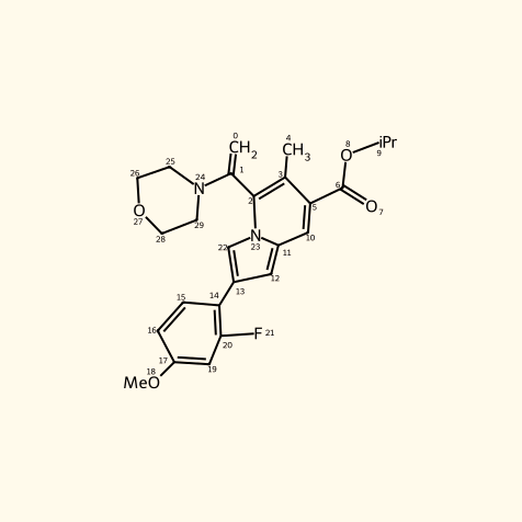 C=C(c1c(C)c(C(=O)OC(C)C)cc2cc(-c3ccc(OC)cc3F)cn12)N1CCOCC1